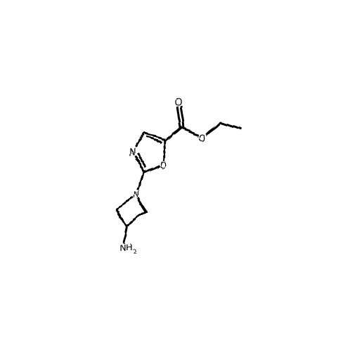 CCOC(=O)c1cnc(N2CC(N)C2)o1